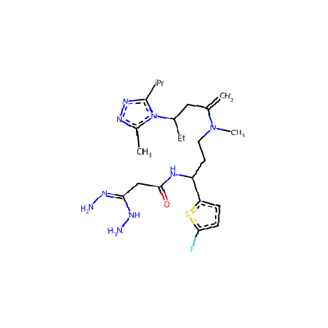 C=C(CC(CC)n1c(C)nnc1C(C)C)N(C)CCC(NC(=O)C/C(=N/N)NN)c1ccc(F)s1